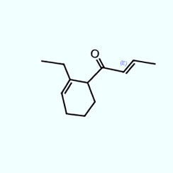 C/C=C/C(=O)C1CCCC=C1CC